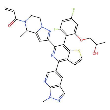 C=CC(=O)N1CCn2nc(-c3nc(-c4cnc5c(cnn5C)c4)c4ccsc4c3-c3c(F)cc(F)cc3OCC(C)O)cc2C1C